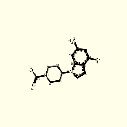 Cc1cc(Br)c2ccn(C3CCN(C(=O)O)CC3)c2c1